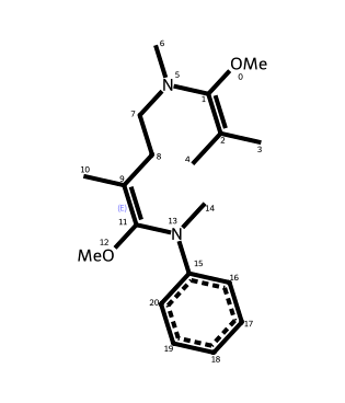 COC(=C(C)C)N(C)CC/C(C)=C(/OC)N(C)c1ccccc1